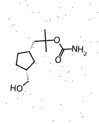 CC(C)(C[C@H]1CC[C@@H](CO)C1)OC(N)=O